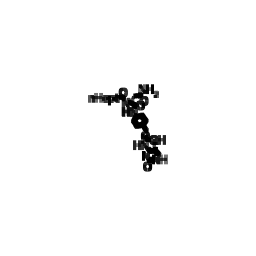 CCCCCCCC(=O)N[C@H](CC(N)=O)C(=O)Nc1ccc(COC(O)Nc2nc(=O)[nH]cc2F)cc1